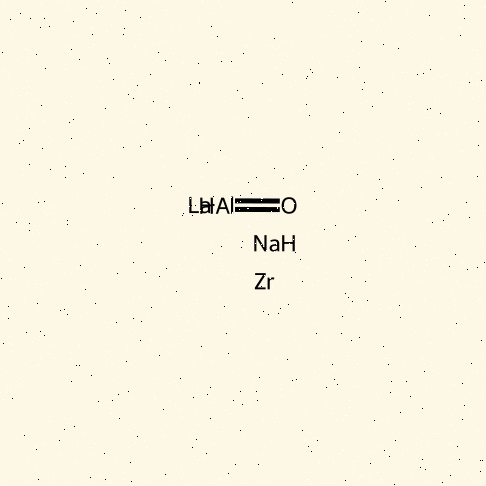 [La].[NaH].[O]=[AlH].[Zr]